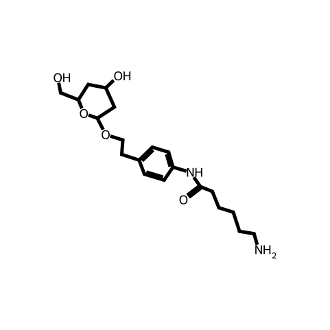 NCCCCCC(=O)Nc1ccc(CCOC2CC(O)CC(CO)O2)cc1